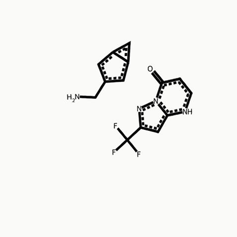 NCc1cc2cc-2c1.O=c1cc[nH]c2cc(C(F)(F)F)nn12